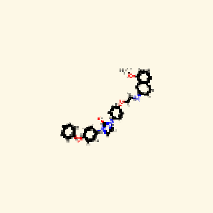 COc1cccc2c1CC(NCCOc1ccc(-n3ccn(-c4ccc(Oc5ccccc5)cc4)c3=O)cc1)CC2